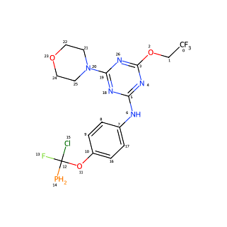 FC(F)(F)COc1nc(Nc2ccc(OC(F)(P)Cl)cc2)nc(N2CCOCC2)n1